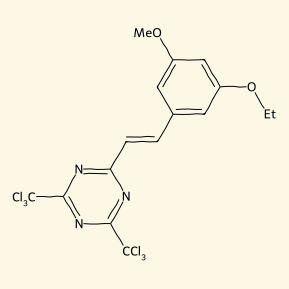 CCOc1cc(C=Cc2nc(C(Cl)(Cl)Cl)nc(C(Cl)(Cl)Cl)n2)cc(OC)c1